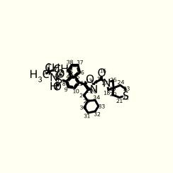 CC(C)(C)NS(=O)(=O)c1ccc(-c2oc(C(=O)N3CC4(CCSCC4)C3)nc2CC2CCCCC2)c2ccccc12